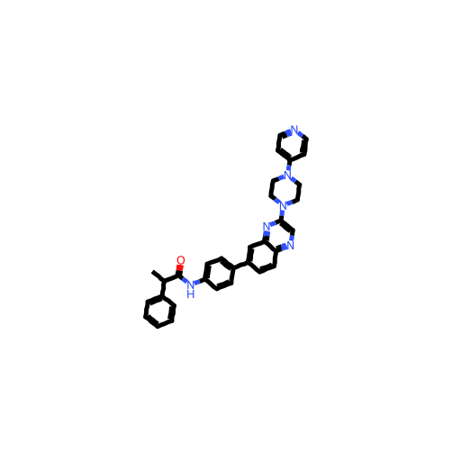 CC(C(=O)Nc1ccc(-c2ccc3ncc(N4CCN(c5ccncc5)CC4)nc3c2)cc1)c1ccccc1